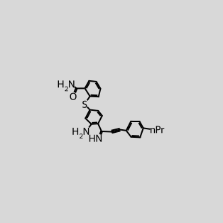 CCCc1ccc(C#CC(=N)c2ccc(Sc3ccccc3C(N)=O)cc2N)cc1